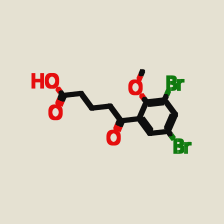 COc1c(Br)cc(Br)cc1C(=O)CCCC(=O)O